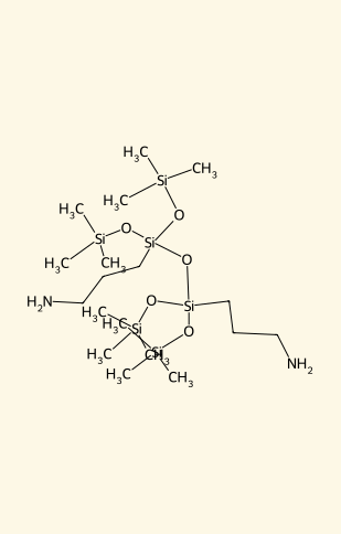 C[Si](C)(C)O[Si](CCCN)(O[Si](C)(C)C)O[Si](CCCN)(O[Si](C)(C)C)O[Si](C)(C)C